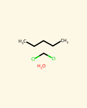 CCCCC.ClCCl.O